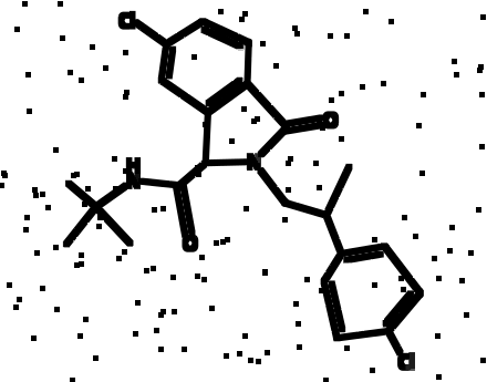 CC(CN1C(=O)c2ccc(Cl)cc2C1C(=O)NC(C)(C)C)c1ccc(Cl)cc1